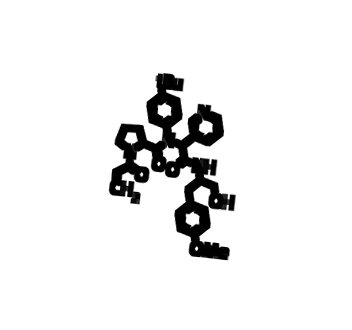 C=CC(=O)N1CCCC1C(=O)N(c1ccc(C(C)(C)C)cc1)C(C(=O)NC(CO)Cc1ccc(OC)cc1)c1cccnc1